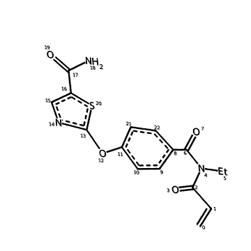 C=CC(=O)N(CC)C(=O)c1ccc(Oc2ncc(C(N)=O)s2)cc1